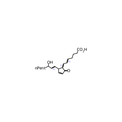 CCCCCC(O)/C=C/C1C=CC(=O)/C1=C\C=C\CCCC(=O)O